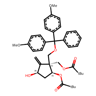 C=C1[C@H](O)C[C@H](OC(=O)C(C)(C)C)[C@]1(COC(=O)C(C)(C)C)COC(c1ccccc1)(c1ccc(OC)cc1)c1ccc(OC)cc1